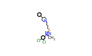 Cc1nc(SCCCCN2CCC(c3ccccc3)CC2)nn1-c1ccc(Cl)c(Cl)c1